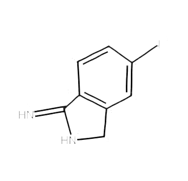 N=C1NCc2cc(I)ccc21